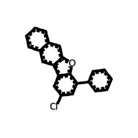 Clc1cc(-c2ccccc2)c2oc3cc4ccccc4cc3c2c1